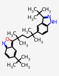 CC(C)(C)c1ccc2noc(C(C)(C)CCC(C)(C)c3ccc4[nH]nc(C(C)(C)C)c4c3)c2c1